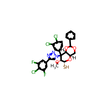 CO[C@H]1[C@@H](S)O[C@@H]2COC(c3ccccc3)O[C@@H]2C1(c1ccc(Cl)c(Cl)c1)n1cc(-c2cc(F)c(Cl)c(F)c2)nn1